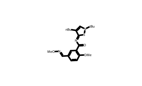 CCCCc1cn(C(C)(C)C)s/c1=N\C(=O)c1cc(/C=N/OC)ccc1OC